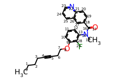 CCCCC#CCCOc1cccc(N(C)C(=O)c2ccc3ncccc3c2)c1F